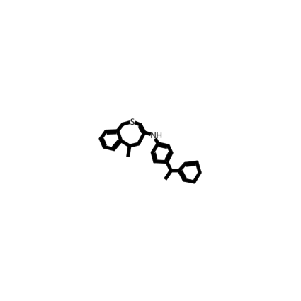 CC1C/C(Nc2ccc(C(C)C3=CCCC=C3)cc2)=C\SCc2ccccc21